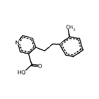 Cc1ccccc1CCc1ccncc1C(=O)O